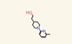 Cc1cccc(N2CCC(CCO)CC2)n1